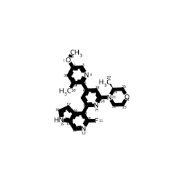 COc1cnc(-c2cc(-c3c(F)ncc4[nH]ccc34)nc(N3CCOC[C@H]3C)c2)c(C)c1